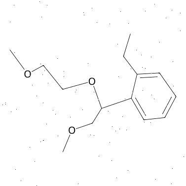 CCc1ccccc1C(COC)OCCOC